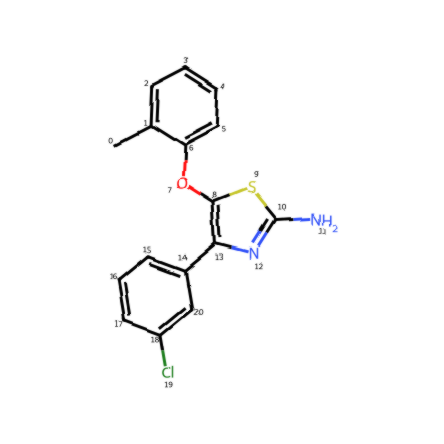 Cc1ccccc1Oc1sc(N)nc1-c1cccc(Cl)c1